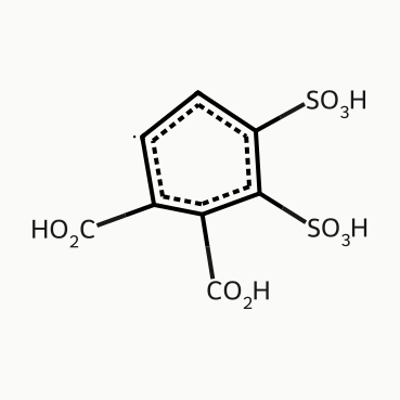 O=C(O)c1[c]cc(S(=O)(=O)O)c(S(=O)(=O)O)c1C(=O)O